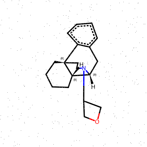 [c]1ccc2c(c1)[C@@]13CCCC[C@H]1[C@@H](C2)N(C1COC1)CC3